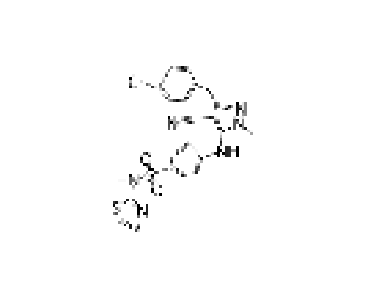 Cn1nc(Cc2ccc(Cl)cc2)c(C#N)c1Nc1ccc(S(=O)(=O)Nc2nccs2)cc1